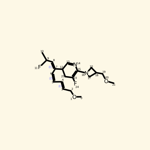 COC/C=C/C=C\C(=C/C(C)F)C1C=NC(N2CC(COC)C2)=C(F)C1